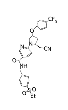 CCS(=O)(=O)c1ccc(CNC(=O)c2ccc(N3CC(Oc4ccc(C(F)(F)F)cc4)C[C@H]3CC#N)nc2)cc1